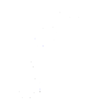 Cc1ccc(-c2nc3ccc(CN4CCN(C)CC4)cc3[nH]2)cc1C#CC1=CNC2C=CC=NN12